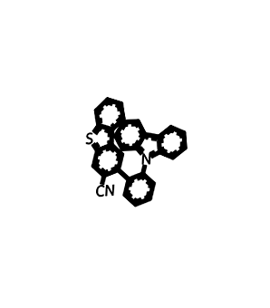 N#Cc1cc2sc3ccccc3c2cc1-c1ccccc1-n1c2ccccc2c2ccccc21